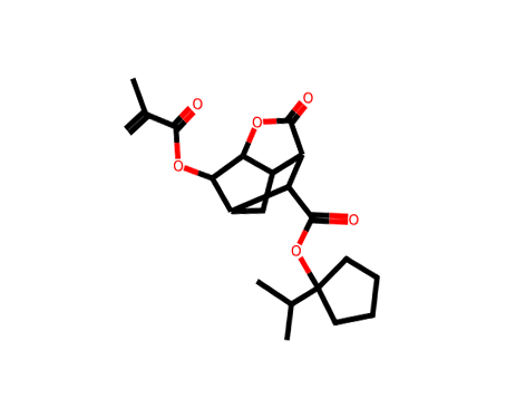 C=C(C)C(=O)OC1C2CC3C1OC(=O)C3C2C(=O)OC1(C(C)C)CCCC1